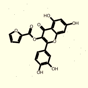 O=C(Oc1c(-c2ccc(O)c(O)c2)oc2cc(O)cc(O)c2c1=O)c1ccco1